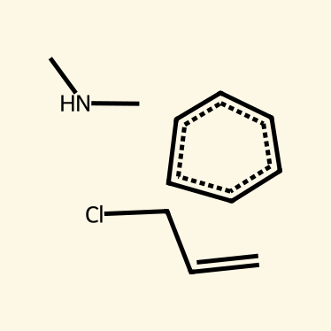 C=CCCl.CNC.c1ccccc1